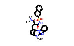 CCN(CC)C(=O)C(Cc1ccc2cc1-n1c(nc3ccccc31)N2C=O)C(=O)NS(=O)(=O)c1ccc2ccccc2c1